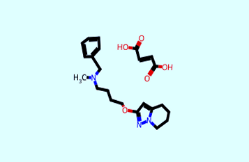 CN(CCCCOc1cc2n(n1)CCCC2)Cc1ccccc1.O=C(O)C=CC(=O)O